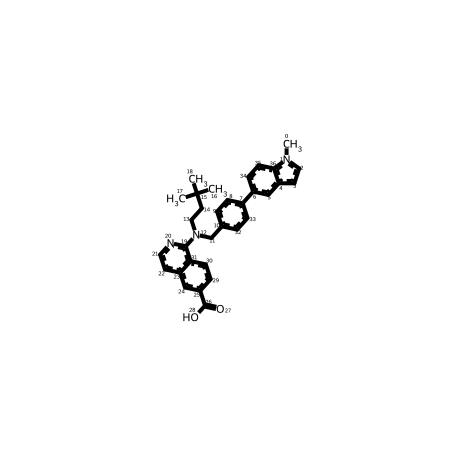 Cn1ccc2cc(-c3ccc(CN(CCC(C)(C)C)c4nccc5cc(C(=O)O)ccc45)cc3)ccc21